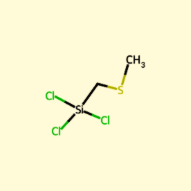 CSC[Si](Cl)(Cl)Cl